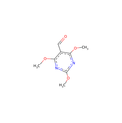 COc1nc(OC)c(C=O)c(OC)n1